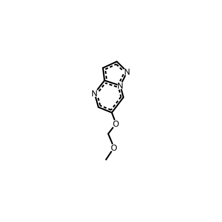 COCOc1cnc2ccnn2c1